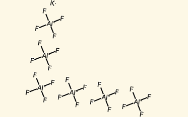 [F][Al-]([F])([F])[F].[F][Al-]([F])([F])[F].[F][Al-]([F])([F])[F].[F][Al-]([F])([F])[F].[F][Al-]([F])([F])[F].[F][Al-]([F])([F])[F].[K]